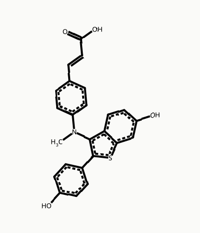 CN(c1ccc(C=CC(=O)O)cc1)c1c(-c2ccc(O)cc2)sc2cc(O)ccc12